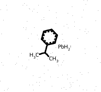 CC(C)c1ccccc1.[PbH2]